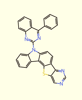 c1ccc(-c2nc(-n3c4ccccc4c4c5sc6cncnc6c5ccc43)nc3ccccc23)cc1